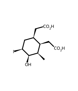 C[C@H]1[C@@H](O)[C@@H](I)C[C@@H](CC(=O)O)[C@H]1CC(=O)O